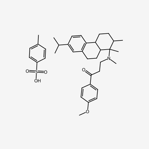 COc1ccc(C(=O)CCN(C)C2(C)C(C)CCC3c4ccc(C(C)C)cc4CCC32)cc1.Cc1ccc(S(=O)(=O)O)cc1